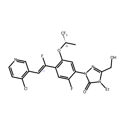 CCn1c(CO)nn(-c2cc(O[C@@H](C)C(F)(F)F)c(/C(F)=C/c3cnccc3Cl)cc2F)c1=O